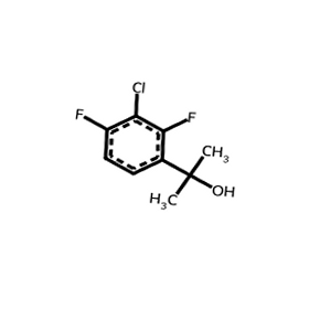 CC(C)(O)c1ccc(F)c(Cl)c1F